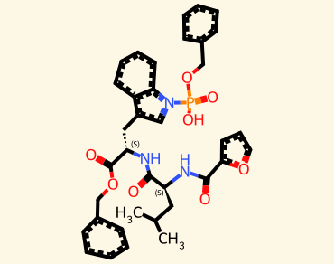 CC(C)C[C@H](NC(=O)c1ccco1)C(=O)N[C@@H](Cc1cn(P(=O)(O)OCc2ccccc2)c2ccccc12)C(=O)OCc1ccccc1